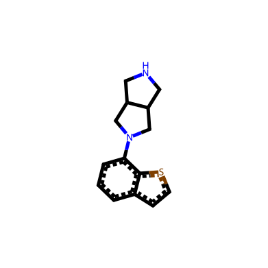 c1cc(N2CC3CNCC3C2)c2sccc2c1